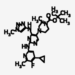 Cc1nc(Nc2ncc(N3CCN(C(=O)OC(C)(C)C)[C@H](C)C3)c(Nc3cn(C)nn3)n2)cc(C2CC2)c1F